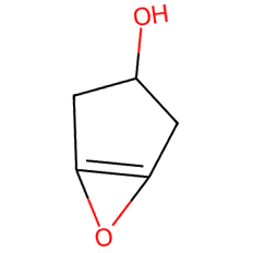 OC1CC2=C(C1)O2